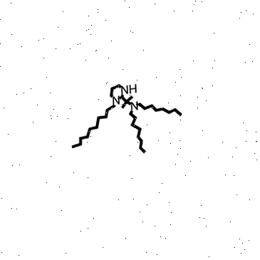 CCCCCCCCCCN1CCCNC1C(C)(C)N(CCCCCCCC)CCCCCCCC